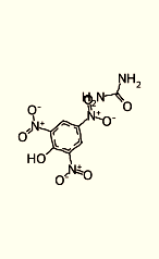 NC(N)=O.O=[N+]([O-])c1cc([N+](=O)[O-])c(O)c([N+](=O)[O-])c1